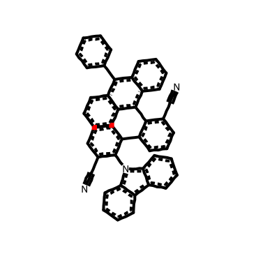 N#Cc1cccc(-c2cccc(C#N)c2-n2c3ccccc3c3ccccc32)c1-c1c2ccccc2c(-c2ccccc2)c2ccccc12